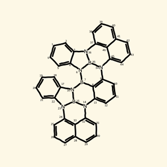 c1ccc2c(c1)N1B3c4c(cccc4N4B5N3c3ccccc3N5c3cccc5cccc4c35)N3B1N2c1cccc2cccc3c12